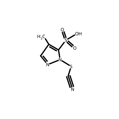 Cc1cnn(SC#N)c1S(=O)(=O)O